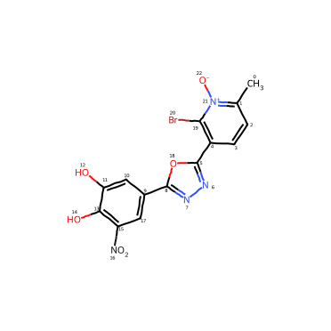 Cc1ccc(-c2nnc(-c3cc(O)c(O)c([N+](=O)[O-])c3)o2)c(Br)[n+]1[O-]